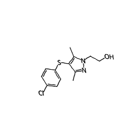 Cc1nn(CCO)c(C)c1Sc1ccc(Cl)cc1